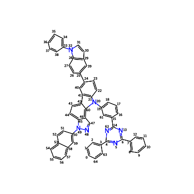 c1ccc(-c2nc(-c3ccccc3)nc(-c3cccc(-n4c5ccc(-c6ccc7c(ccn7-c7ccccc7)c6)cc5c5ccc6c(cnn6-c6ccc7ccccc7c6)c54)c3)n2)cc1